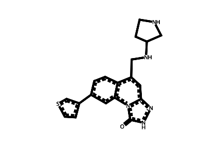 O=c1[nH]nc2cc(CNC3CCNC3)c3ccc(-c4ccsc4)cc3n12